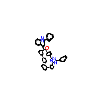 c1ccc(-c2cccc(-c3nc(-c4ccccc4)nc(-c4ccc(-c5oc6c(-c7ccccc7)nc7ccccc7c6c5-c5cccc(-c6ccccc6)c5)cc4)n3)c2)cc1